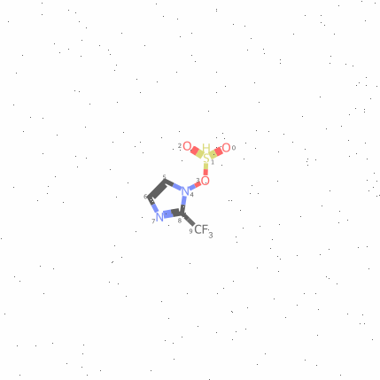 O=[SH](=O)On1ccnc1C(F)(F)F